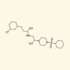 O=S(=O)(C1CCCCC1)N1CCN(C(O)CNC(O)CCC2CCCC(Cl)C2)CC1